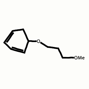 COCCCOC1C=CC=CC1